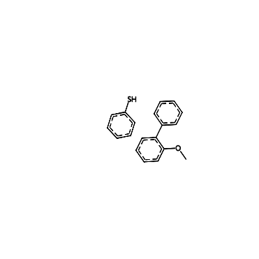 COc1ccccc1-c1ccccc1.Sc1ccccc1